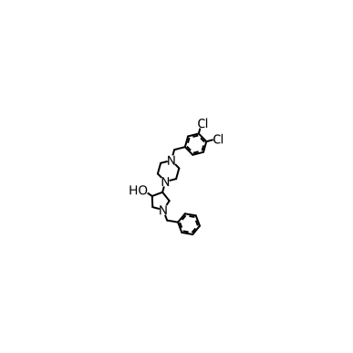 OC1CN(Cc2ccccc2)CC1N1CCN(Cc2ccc(Cl)c(Cl)c2)CC1